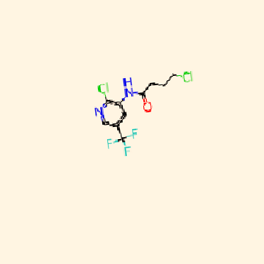 O=C(CCCCl)Nc1cc(C(F)(F)F)cnc1Cl